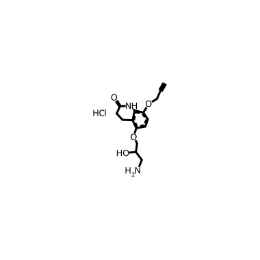 C#CCOc1ccc(OCC(O)CN)c2c1NC(=O)CC2.Cl